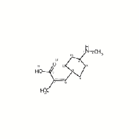 CNC1CCC(C=C(C)C(=O)O)CC1